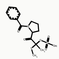 CSC(C)(OS(=O)(=O)O)C(=O)C1CCCN1C(=O)c1ccccc1